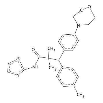 Cc1ccc(C(c2ccc(N3CCOCC3)cc2)C(C)(C)C(=O)Nc2nccs2)cc1